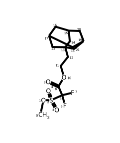 COS(=O)(=O)C(F)(F)C(=O)OCCC12CC3CC(CC(C3)C1)C2